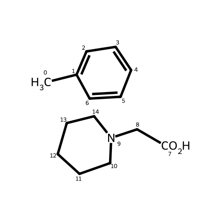 Cc1ccccc1.O=C(O)CN1CCCCC1